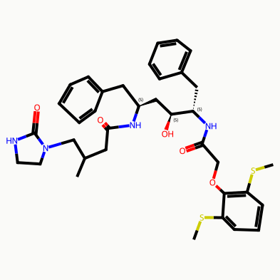 CSc1cccc(SC)c1OCC(=O)N[C@@H](Cc1ccccc1)[C@@H](O)C[C@H](Cc1ccccc1)NC(=O)CC(C)CN1CCNC1=O